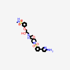 CNS(=O)(=O)c1cccc(OC[C@@H](O)CN[C@H]2COC3(CCN(S(=O)(=O)c4cccc(-c5ccc(N)nc5)c4)CC3)C2)c1